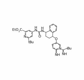 CCOC(=O)c1cc(NC(=O)NC2CCC(Oc3ccc(=N)n(C(=N)C(C)CC)c3)c3ccccc32)cc(C(C)(C)C)n1